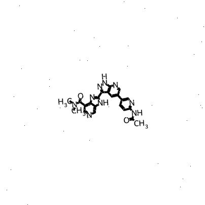 CC(=O)Nc1ccc(-c2cnc3[nH]nc(-c4nc5c(C(=O)N(C)C)cncc5[nH]4)c3c2)cn1